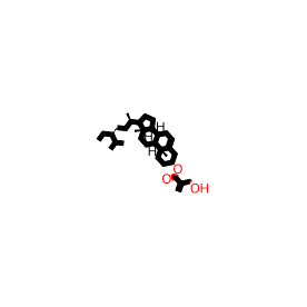 C=C(CO)C(=O)O[C@H]1CC[C@@]2(C)C(=CC[C@@H]3[C@@H]2CC[C@]2(C)C([C@H](C)CC[C@@H](CC)C(C)C)CC[C@@H]32)C1